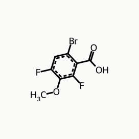 COc1c(F)cc(Br)c(C(=O)O)c1F